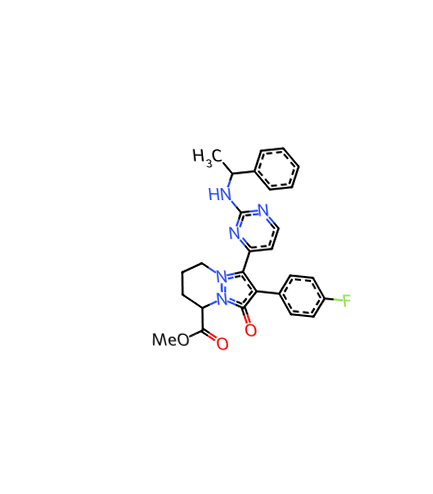 COC(=O)C1CCCn2c(-c3ccnc(NC(C)c4ccccc4)n3)c(-c3ccc(F)cc3)c(=O)n21